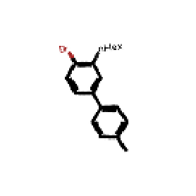 CCCCCCc1cc(-c2ccc(C)cc2)ccc1Br